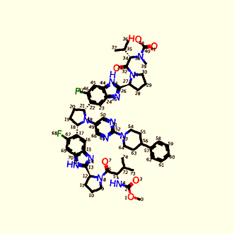 COC(=O)N[C@H](C(=O)N1CCC[C@H]1c1nc2cc([C@@H]3CC[C@H](c4cc5nc([C@@H]6CCCN6C(=O)[C@H](C(C)C)N(C)C(=O)O)[nH]c5cc4F)N3c3cnc(N4CCC(c5ccccc5)CC4)nc3)c(F)cc2[nH]1)C(C)C